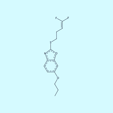 CCCOc1ccc2nc(SCCC=C(F)F)oc2c1